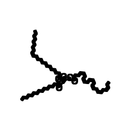 CC/C=C\C/C=C\C/C=C\C/C=C\C/C=C\C/C=C\CCC(=O)OC[C@H](COC(=O)CCCCCCCCCCCCCC)OC(=O)CCCCCCCCCCC/C=C\CCCCCCCC